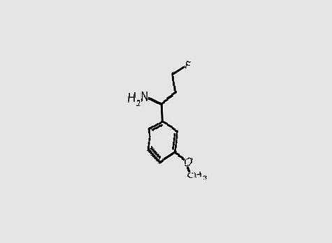 COc1cccc(C(N)CCF)c1